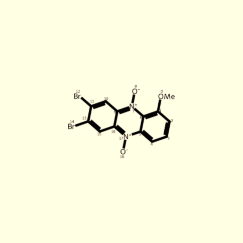 COc1cccc2c1[n+]([O-])c1cc(Br)c(Br)cc1[n+]2[O-]